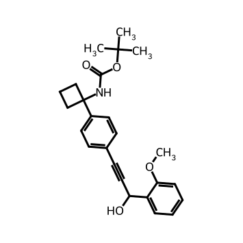 COc1ccccc1C(O)C#Cc1ccc(C2(NC(=O)OC(C)(C)C)CCC2)cc1